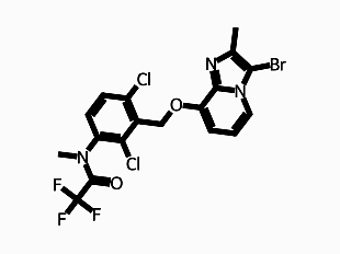 Cc1nc2c(OCc3c(Cl)ccc(N(C)C(=O)C(F)(F)F)c3Cl)cccn2c1Br